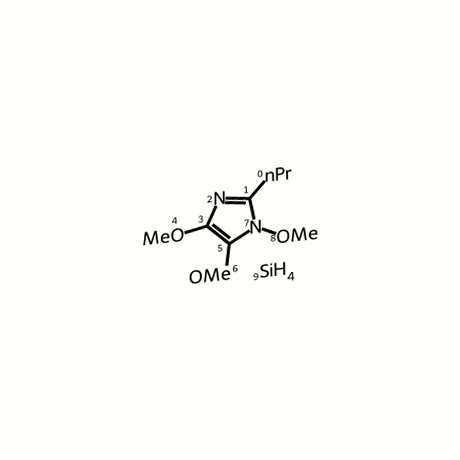 CCCc1nc(OC)c(OC)n1OC.[SiH4]